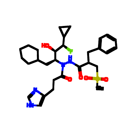 CC(C)(C)S(=O)(=O)CC(Cc1ccccc1)C(=O)NN(C(=O)CCc1c[nH]cn1)[C@@H](CC1CCCCC1)[C@@H](O)[C@H](F)C1CC1